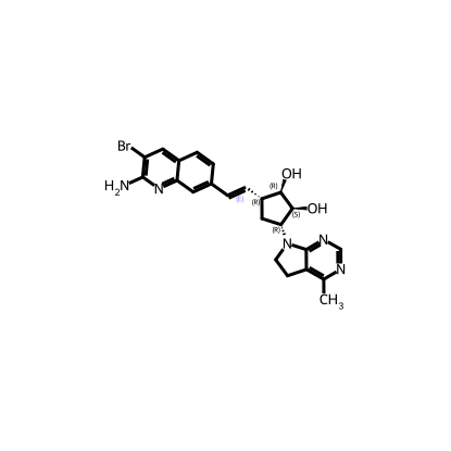 Cc1ncnc2c1CCN2[C@@H]1C[C@H](/C=C/c2ccc3cc(Br)c(N)nc3c2)[C@@H](O)[C@H]1O